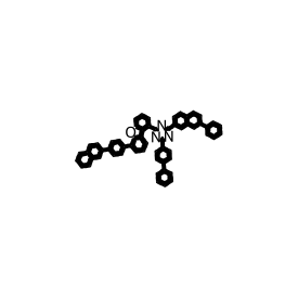 c1ccc(-c2ccc(-c3nc(-c4ccc5ccc(-c6ccccc6)cc5c4)nc(-c4cccc5oc6c(-c7ccc(-c8ccc9ccccc9c8)cc7)cccc6c45)n3)cc2)cc1